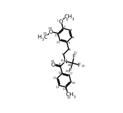 COc1ccc(CCN(C(=O)c2ccc(C)cc2)C(F)(F)F)cc1OC